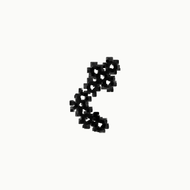 CC1(C)C2=CC=C(c3ccc(-c4c5ccccc5c(-c5ccccc5)c5ccccc45)cc3)CC2c2cc3c(ccc4c5ccccc5sc34)cc21